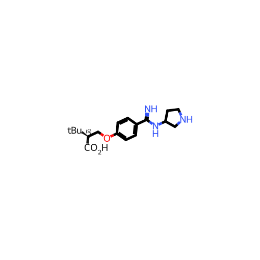 CC(C)(C)[C@@H](COc1ccc(C(=N)NC2CCNC2)cc1)C(=O)O